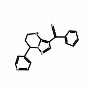 O=C(c1ccccc1)c1cnn2c1NCCC2c1ccncc1